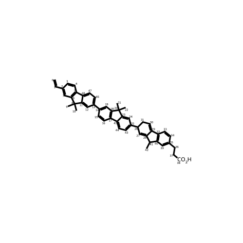 C=Cc1ccc2c(c1)C(C)(C)c1cc(-c3ccc4c(c3)C(C)(C)c3cc(C5C=C6C(=CC5)c5ccc(CCC(=O)O)cc5C6C)ccc3-4)ccc1-2